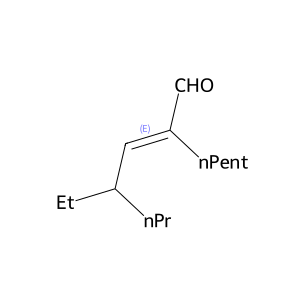 CCCCC/C(C=O)=C\C(CC)CCC